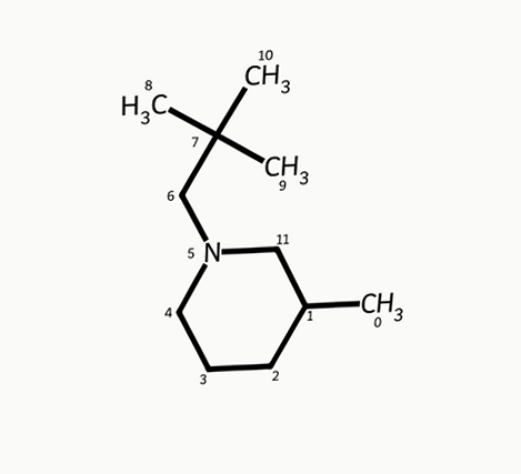 CC1CCCN(CC(C)(C)C)C1